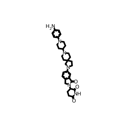 Nc1ccc(N2CCC(N3CCC4(CCN(c5ccc6c(c5)C(=O)N(C5CCC(=O)NC5=O)C6)C4)CC3)CC2)cc1